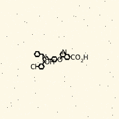 O=C(O)c1ccc2c(Oc3ccc(CCN(Cc4ccccc4)C[C@@H](O)c4cccc(Cl)c4)cc3)ccnc2c1